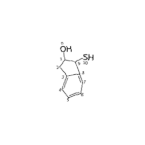 OC1Cc2ccccc2C1S